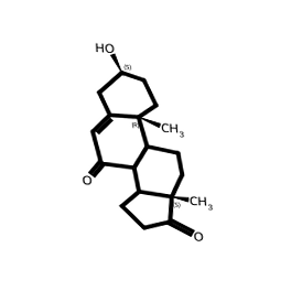 C[C@]12CC[C@H](O)CC1=CC(=O)C1C2CC[C@]2(C)C(=O)CCC12